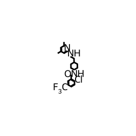 Cc1cc(C)nc(NCCC2CCC(NC(=O)c3cc(C(F)(F)F)ccc3Cl)CC2)c1